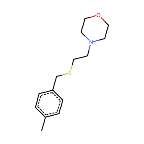 Cc1ccc(CSCCN2CCOCC2)cc1